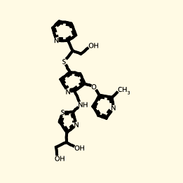 Cc1ncccc1Oc1cc(SC(CO)c2ccccn2)cnc1Nc1nc(C(O)CO)cs1